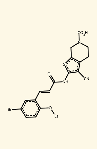 CCOc1ccc(Br)cc1C=CC(=O)Nc1sc2c(c1C#N)CCN(C(=O)O)C2